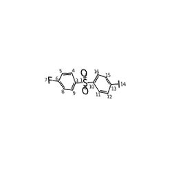 O=S(=O)(c1ccc(F)cc1)c1ccc(I)cc1